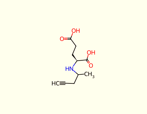 C#CCC(C)N[C@@H](CCC(=O)O)C(=O)O